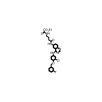 CCOC(=O)C(=O)NCCCC(=O)Nc1ccc2ncnc(Nc3ccc(OCc4cccc(F)c4)c(Cl)c3)c2c1